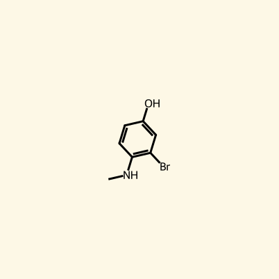 CNc1ccc(O)cc1Br